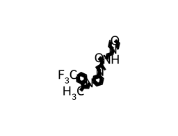 Cc1cn(-c2cccc(N3CC(C(=O)NCCN4CCOCC4)C3)c2)c2ccc(C(F)(F)F)cc12